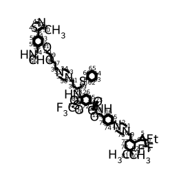 CCC1(C(F)F)CC1C1=C(CN2CCN(c3ccc(C(=O)NS(=O)(=O)c4ccc(NC(CCN5CCN(CCCCCOc6cc(-c7scnc7C)ccc6CNC=O)CC5)CSc5ccccc5)c(S(=O)(=O)C(F)(F)F)c4)cc3)CC2)CCC(C)(C)C1